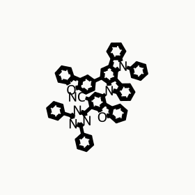 N#Cc1cc(-n2c3ccccc3c3c2c(-c2ccc4oc5ccccc5c4c2)cc2c4ccccc4n(-c4ccccc4)c23)c2c(oc3ccccc32)c1-c1nc(-c2ccccc2)nc(-c2ccccc2)n1